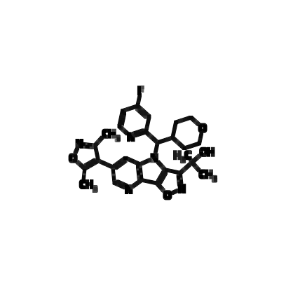 Cc1noc(C)c1-c1cnc2c3onc(C(C)(C)O)c3n(C(c3cc(F)ccn3)C3CCOCC3)c2c1